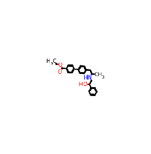 CCOC(=O)c1ccc(-c2ccc(CC(C)NCC(O)c3ccccc3)cc2)cc1